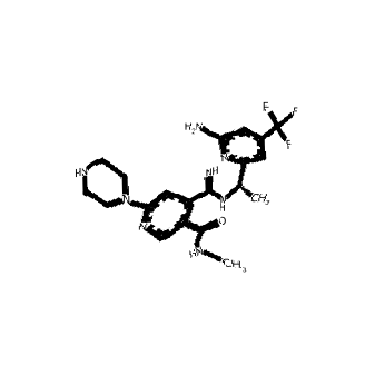 CNC(=O)c1cnc(N2CCNCC2)cc1C(=N)N[C@H](C)c1cc(C(F)(F)F)cc(N)n1